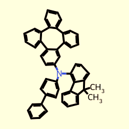 CC1(C)c2ccccc2-c2c(N(c3ccc(-c4ccccc4)cc3)c3ccc4c(c3)-c3ccccc3-c3ccccc3-c3ccccc3-4)cccc21